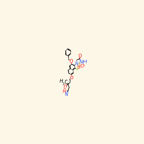 C[C@@](O)(CC#N)CCOc1ccc2cc(OCc3ccccc3)c(N3CC(=O)NS3(=O)=O)c(F)c2c1